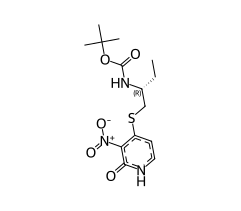 CC[C@H](CSc1cc[nH]c(=O)c1[N+](=O)[O-])NC(=O)OC(C)(C)C